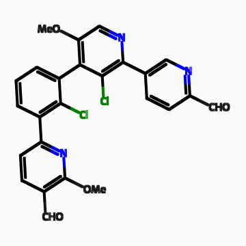 COc1cnc(-c2ccc(C=O)nc2)c(Cl)c1-c1cccc(-c2ccc(C=O)c(OC)n2)c1Cl